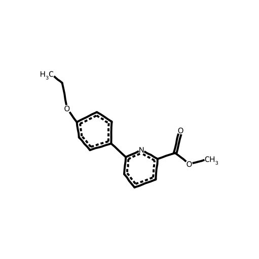 CCOc1ccc(-c2cccc(C(=O)OC)n2)cc1